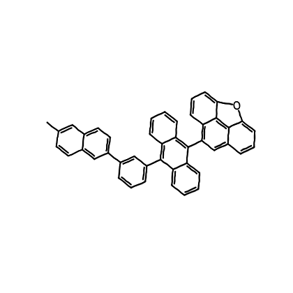 Cc1ccc2cc(-c3cccc(-c4c5ccccc5c(-c5cc6cccc7oc8cccc5c8c67)c5ccccc45)c3)ccc2c1